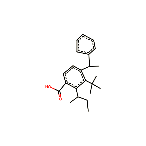 CCC(C)c1c(C(=O)O)ccc(C(C)c2ccccc2)c1C(C)(C)C